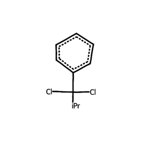 CC(C)C(Cl)(Cl)c1ccccc1